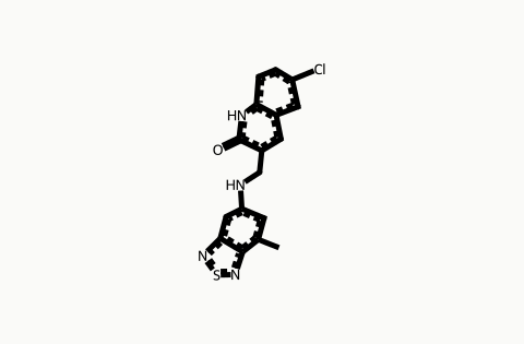 Cc1cc(NCc2cc3cc(Cl)ccc3[nH]c2=O)cc2nsnc12